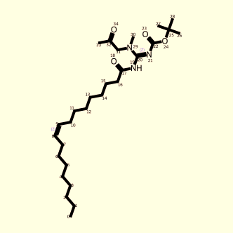 CCCCCCCC/C=C\CCCCCCCC(=O)N/C(=N/C(=O)OC(C)(C)C)N(C)CC(C)=O